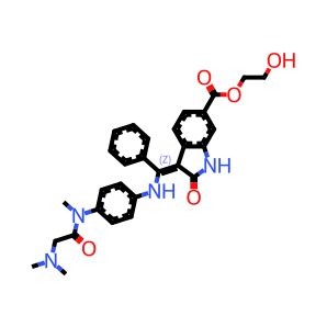 CN(C)CC(=O)N(C)c1ccc(N/C(=C2\C(=O)Nc3cc(C(=O)OCCO)ccc32)c2ccccc2)cc1